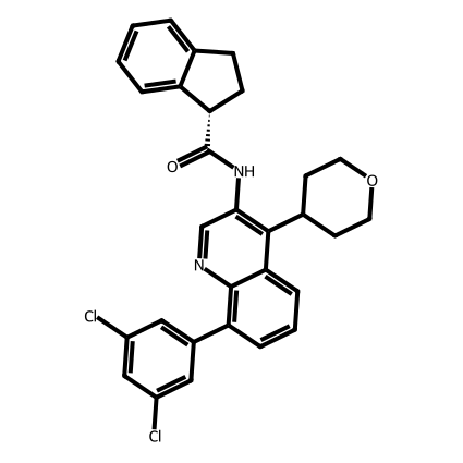 O=C(Nc1cnc2c(-c3cc(Cl)cc(Cl)c3)cccc2c1C1CCOCC1)[C@H]1CCc2ccccc21